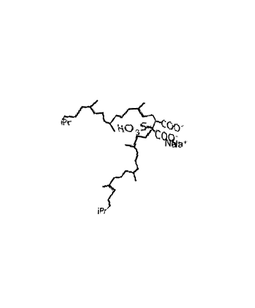 CC(C)CCCC(C)CCCC(C)CCCC(C)CCC(C(=O)[O-])C(CCC(C)CCCC(C)CCCC(C)CCCC(C)C)(C(=O)[O-])S(=O)(=O)O.[Na+].[Na+]